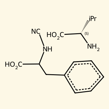 CC(C)[C@H](N)C(=O)O.N#CNC(Cc1ccccc1)C(=O)O